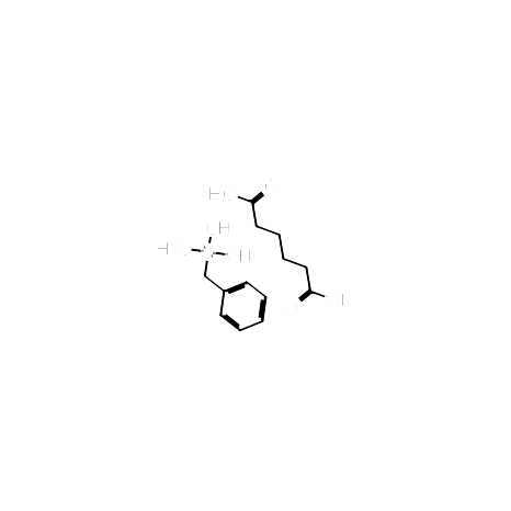 C[N+](C)(C)Cc1ccccc1.O=C(O)CCCCC(=O)O